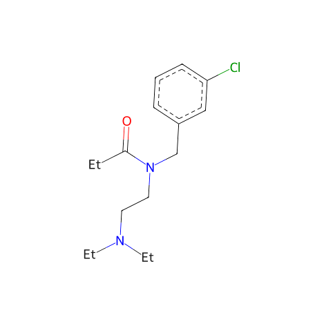 CCC(=O)N(CCN(CC)CC)Cc1cccc(Cl)c1